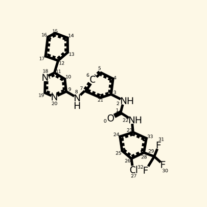 O=C(Nc1cccc(Nc2cc(-c3ccccc3)ncn2)c1)Nc1ccc(Cl)c(C(F)(F)F)c1